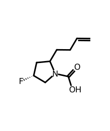 C=CCCC1C[C@@H](F)CN1C(=O)O